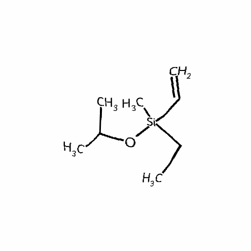 C=C[Si](C)(CC)OC(C)C